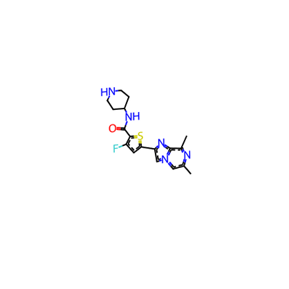 Cc1cn2cc(-c3cc(F)c(C(=O)NC4CCNCC4)s3)nc2c(C)n1